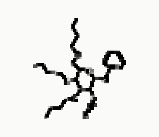 CCCCOCC1O[C@@H](Sc2ccccc2)C(N=[N+]=[N-])C(OCCCC)[C@@H]1OCCCC